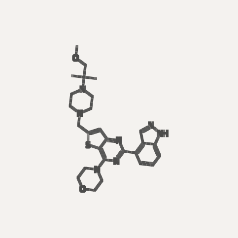 COCC(C)(C)N1CCN(Cc2cc3nc(-c4cccc5[nH]ncc45)nc(N4CCOCC4)c3s2)CC1